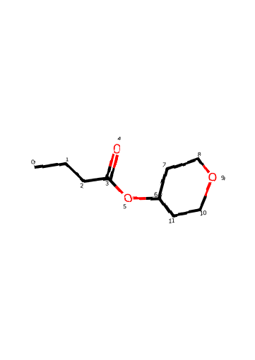 CCCC(=O)OC1CCOCC1